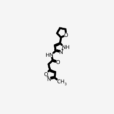 Cc1cc(CC(=O)Nc2cc(C3CCCO3)[nH]n2)on1